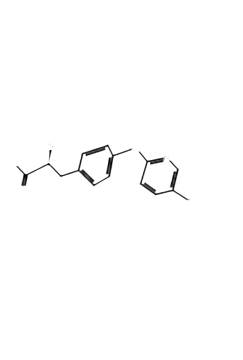 N[C@@H](Cc1ccc(Oc2ccc(I)cn2)cc1)C(=O)O